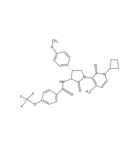 COc1ccc([C@@H]2CN(c3c(C)ccn(C4CCC4)c3=O)C(=O)C2NC(=O)c2ccc(OC(F)(F)F)cc2)cc1